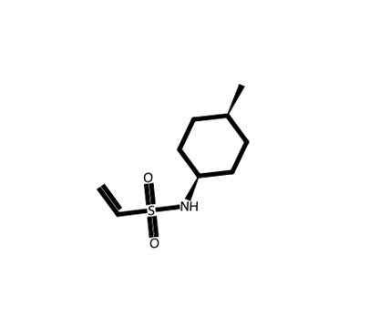 C=CS(=O)(=O)N[C@H]1CC[C@@H](C)CC1